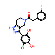 O=C(Cc1cccc(F)c1)N1CCc2[nH]nc(-c3cc(Cl)c(O)cc3O)c2C1